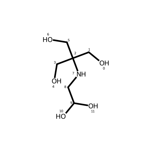 OCC(CO)(CO)NCC(O)O